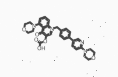 O=C(O)Oc1cn(Cc2ccc(-c3ccc(N4CCOCC4)nc3)cc2)c2cccc(N3CCOCC3)c2c1=O